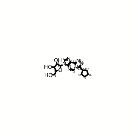 OCC1OC(n2cnc3c2ncn2c(C4CCCC4)nnc32)C(O)C1O